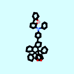 c1ccc(N(c2ccc(-c3ccc4c(c3)-c3ccccc3C(c3ccccc3)(c3ccccc3)C4(c3ccccc3)c3ccccc3)cc2)c2cccc3c2oc2ccccc23)cc1